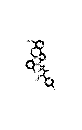 COc1ccnc2c1OC[C@@H](c1cccc(C#N)c1)n1c(NS(=O)(=O)C(C)C(OC(C)C)c3ncc(Cl)cn3)nnc1-2